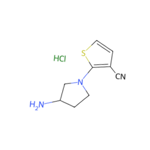 Cl.N#Cc1ccsc1N1CCC(N)C1